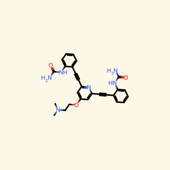 CN(C)CCOc1cc(C#Cc2ccccc2NC(N)=O)nc(C#Cc2ccccc2NC(N)=O)c1